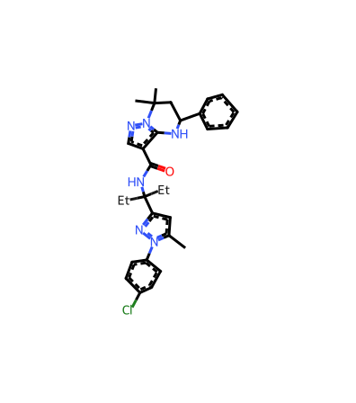 CCC(CC)(NC(=O)c1cnn2c1NC(c1ccccc1)CC2(C)C)c1cc(C)n(-c2ccc(Cl)cc2)n1